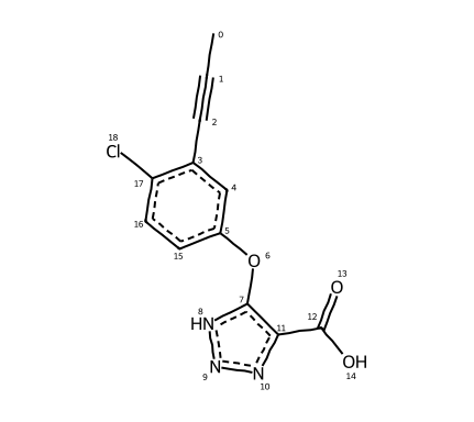 CC#Cc1cc(Oc2[nH]nnc2C(=O)O)ccc1Cl